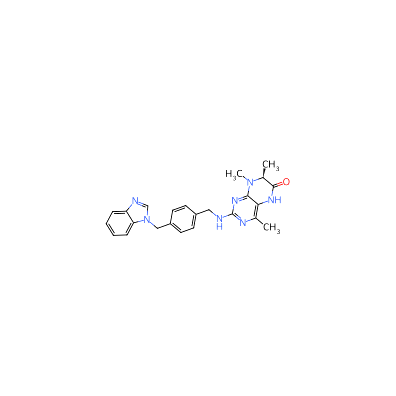 Cc1nc(NCc2ccc(Cn3cnc4ccccc43)cc2)nc2c1NC(=O)[C@H](C)N2C